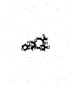 C/C(NC1CCOCC1)=C1\Nc2ncc(Cl)c(n2)NC(C(F)F)CCOC1=N